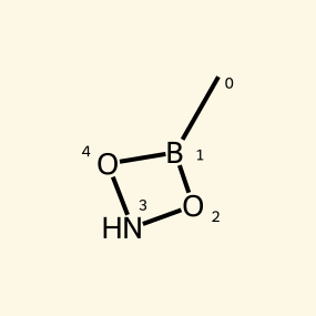 CB1ONO1